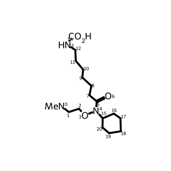 CNCCON(C(=O)CCCCCCNC(=O)O)C1CCCCC1